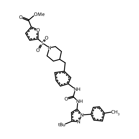 COC(=O)c1ccc(S(=O)(=O)N2CCC(Cc3cccc(NC(=O)Nc4cc(C(C)(C)C)nn4-c4ccc(C)cc4)c3)CC2)o1